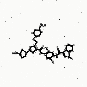 CO[C@H]1CCN([C@H]2C[C@@H](CO[C@H]3CC[C@H](C(=O)O)CC3)N(C(=O)Cc3cc(Cl)c(NC(=O)c4cn(C)c5ccccc45)cc3Cl)C2)C1